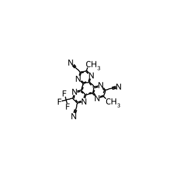 Cc1nc2c3nc(C#N)c(C)nc3c3nc(C#N)c(C(F)(F)F)nc3c2nc1C#N